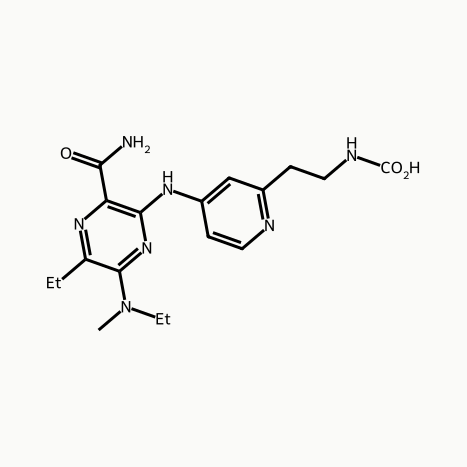 CCc1nc(C(N)=O)c(Nc2ccnc(CCNC(=O)O)c2)nc1N(C)CC